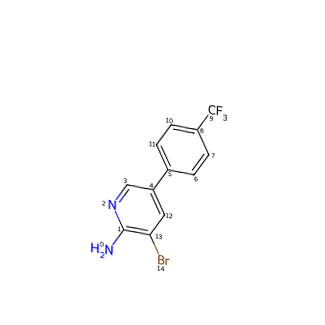 Nc1ncc(-c2ccc(C(F)(F)F)cc2)cc1Br